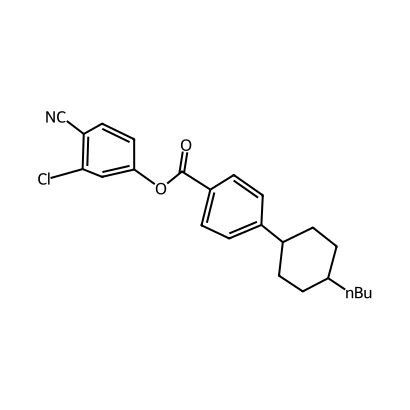 CCCCC1CCC(c2ccc(C(=O)Oc3ccc(C#N)c(Cl)c3)cc2)CC1